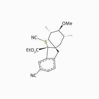 CCOC(=O)[C@]1(SC#N)c2cc(C#N)ccc2C[C@@]12C[C@@H](C)[C@H](OC)[C@@H](C)C2